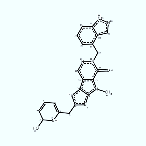 Cn1c2nc(CC3=CC=CC(O)N3)sc2c2cnn(Cc3cccc4[nH]ncc34)c(=O)c21